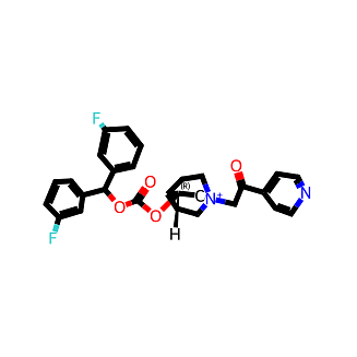 O=C(OC(c1cccc(F)c1)c1cccc(F)c1)O[C@H]1C[N+]2(CC(=O)c3ccncc3)CCC1CC2